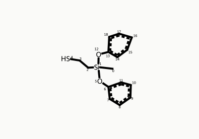 C[Si](CCS)(Oc1ccccc1)Oc1ccccc1